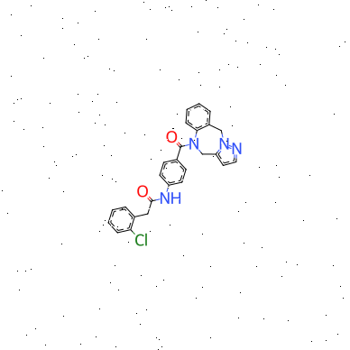 O=C(Cc1ccccc1Cl)Nc1ccc(C(=O)N2Cc3ccnn3Cc3ccccc32)cc1